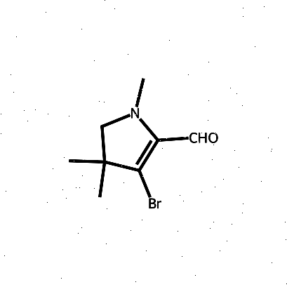 CN1CC(C)(C)C(Br)=C1C=O